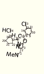 CNCc1cc(OC(C)c2cccc(Cl)c2)n(CC2CCCCC2)n1.Cl